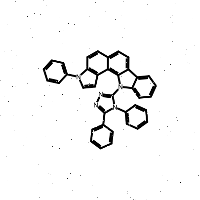 c1ccc(-c2nnc(-n3c4ccccc4c4ccc5ccc6c(ccn6-c6ccccc6)c5c43)n2-c2ccccc2)cc1